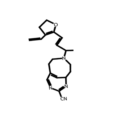 C=CC1=C(/C=C/C(C)N2CCC3=CC(CC2)N=C(C#N)N=C3)OCC1